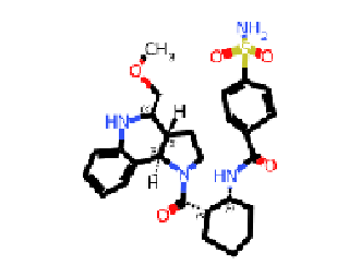 COC[C@@H]1Nc2ccccc2[C@H]2[C@H]1CCN2C(=O)[C@H]1CCCC[C@H]1NC(=O)c1ccc(S(N)(=O)=O)cc1